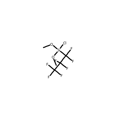 CO[Si](Cl)(OC)C(F)(F)C(F)(F)C(F)(F)F